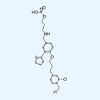 CC(C)Cc1ccc(CCCOc2ccc(CNCCCO[PH](=O)O)cc2-c2cccs2)cc1Cl